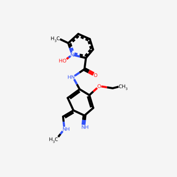 CCOC1=CC(=N)/C(=C\NC)C=C1NC(=O)c1cccc(C)[n+]1O